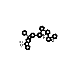 CC1(C)c2ccccc2-c2cc3c4cc(-c5ccc6c(c5)-c5ccccc5-c5cccc(-c7cccc8oc9ccccc9c78)c5N6)ccc4n(-c4ccccc4)c3cc21